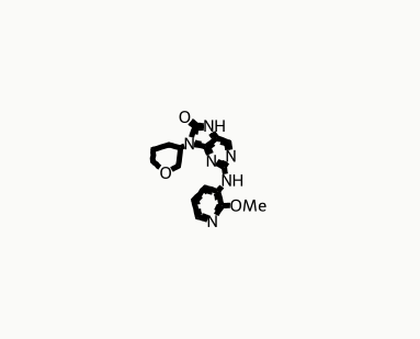 COc1ncccc1Nc1ncc2[nH]c(=O)n(C3CCCOC3)c2n1